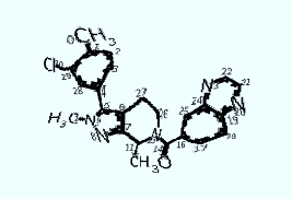 Cc1ccc(-c2c3c(nn2C)[C@H](C)N(C(=O)c2ccc4nccnc4c2)CC3)cc1Cl